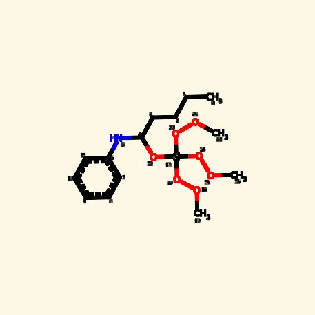 CCCCC(Nc1ccccc1)O[Si](OOC)(OOC)OOC